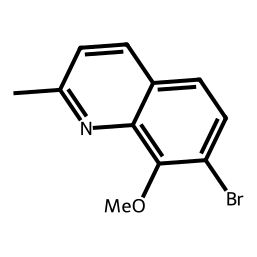 COc1c(Br)ccc2ccc(C)nc12